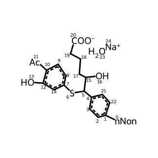 CCCCCCCCCc1ccc(C(Sc2ccc(C(C)=O)c(O)c2)C(O)CCCC(=O)[O-])cc1.O.[Na+]